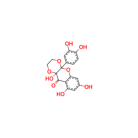 O=C1c2c(O)cc(O)cc2OC2(c3ccc(O)c(O)c3)OCCOC12O